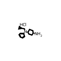 Cl.N[C@H]1CC[C@@H](N(CC2CC2)c2ccccc2)CC1